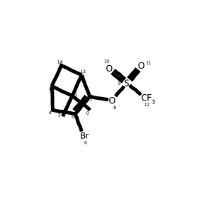 CC1(C)C2CC(Br)=C(OS(=O)(=O)C(F)(F)F)C1C2